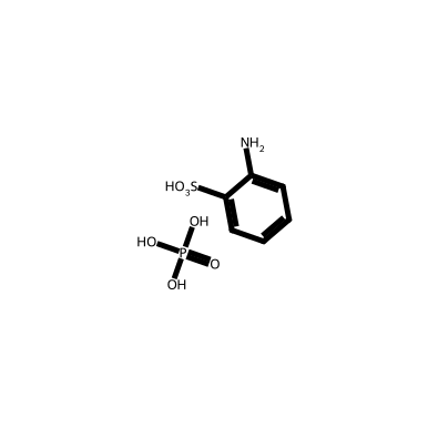 Nc1ccccc1S(=O)(=O)O.O=P(O)(O)O